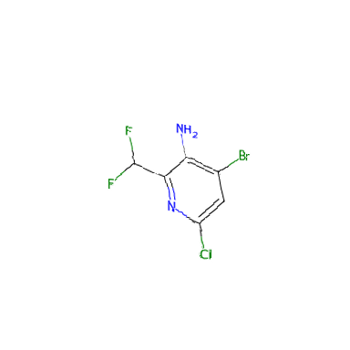 Nc1c(Br)cc(Cl)nc1C(F)F